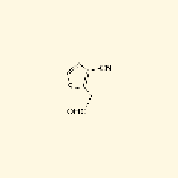 N#Cc1ccsc1CC=O